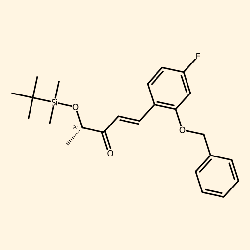 C[C@H](O[Si](C)(C)C(C)(C)C)C(=O)C=Cc1ccc(F)cc1OCc1ccccc1